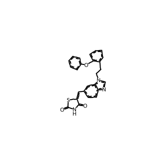 O=C1NC(=O)/C(=C\c2ccc3ncn(CCc4ccccc4Oc4ccccc4)c3c2)S1